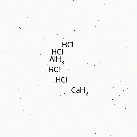 Cl.Cl.Cl.Cl.[AlH3].[CaH2]